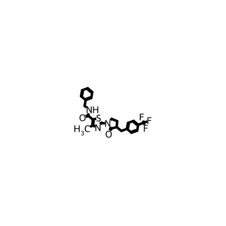 Cc1nc(N2CCC(Cc3ccc(C(F)(F)F)cc3)C2=O)sc1C(=O)NCc1ccccc1